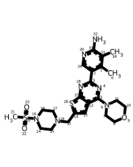 Cc1c(-c2nc(N3CCOCC3)c3cc(CN4CCN(S(C)(=O)=O)CC4)sc3n2)cnc(N)c1C